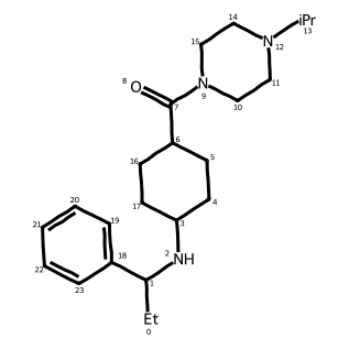 CCC(NC1CCC(C(=O)N2CCN(C(C)C)CC2)CC1)c1ccccc1